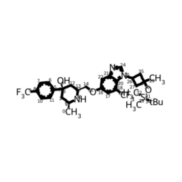 C[C@H]1C[C@](O)(c2ccc(C(F)(F)F)cc2)C[C@@H](COc2cc(C(F)(F)F)c3c(c2)ncn3C2CC(C)(O[Si](C)(C)C(C)(C)C)C2)N1